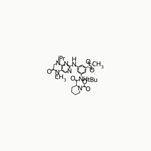 CC(C)N1CC(=O)N(C)c2cnc(Nc3cc(NC(=O)C4CCCCN4C(=O)OC(C)(C)C)cc(S(C)(=O)=O)c3)nc21